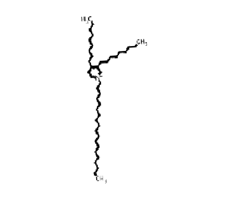 CCCCCCCCCCCCCCCCCCC[n+]1ccc(CCCCCCCCC)c(CCCCCCCCC)c1